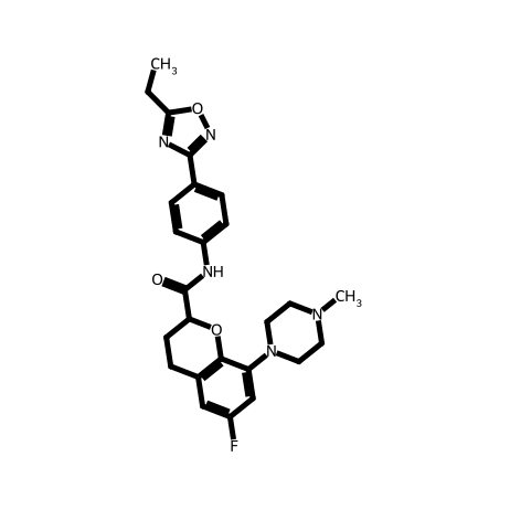 CCc1nc(-c2ccc(NC(=O)C3CCc4cc(F)cc(N5CCN(C)CC5)c4O3)cc2)no1